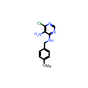 COc1ccc(CNc2ncnc(Cl)c2N)cc1